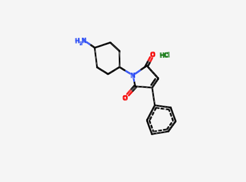 Cl.NC1CCC(N2C(=O)C=C(c3ccccc3)C2=O)CC1